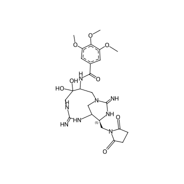 COc1cc(C(=O)NC2CN3CC(NC(=N)NCC2(O)O)[C@H](CN2C(=O)CCC2=O)NC3=N)cc(OC)c1OC